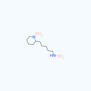 BNCCCCCC1CCCCN1B